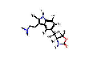 [2H]c1c(C([2H])([2H])[C@]2([2H])N([2H])C(=O)OC2([2H])[2H])c([2H])c2c(CCN(C)C)c([2H])n([2H])c2c1[2H]